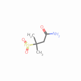 CC(C)(CC(N)=O)[SH](=O)=O